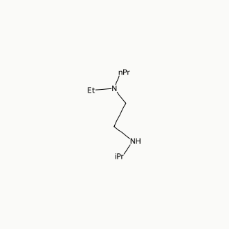 CCCN(CC)CCNC(C)C